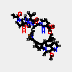 C=CC(=O)N1CCC(O)(C(=O)N(C)[C@H](C(=O)N[C@H]2Cc3nc(cs3)-c3ccc4c(c3)c(c(-c3cccnc3COC)n4CC)CC(C)(C)COC(=O)[C@@]3(O)CCCN(N3)C2=O)C(C)C)C1